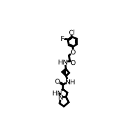 O=C(COc1ccc(Cl)c(F)c1)NC12CC(NC(=O)C3CC4CCCN4N3)(C1)C2